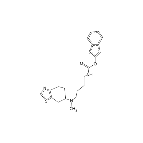 CN(CCCCNC(=O)Oc1cc2ccccc2s1)C1CCc2ncsc2C1